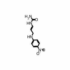 NC(=O)NC=CCNc1ccc([N+](=O)[O-])cc1